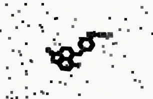 O=C(O)NC1CCN(CC2CCn3c(=O)sc4ccc(F)c2c43)CC1